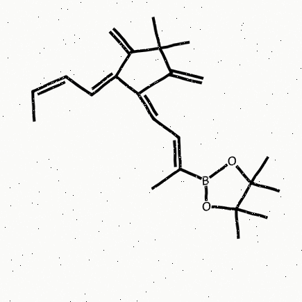 C=C1C(=C\C=C/C)/C(=C/C=C(\C)B2OC(C)(C)C(C)(C)O2)C(=C)C1(C)C